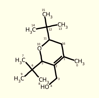 CC1=C(CO)C(C(C)(C)C)OC(C(C)(C)C)C1